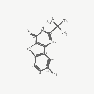 CC(C)(N)c1nc2c(oc3ccc(Cl)cc32)c(=O)[nH]1